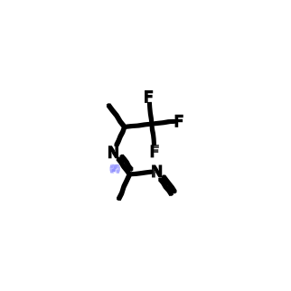 C=N/C(C)=N\C(C)C(F)(F)F